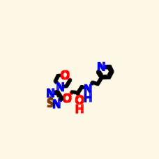 OC(CNCCc1cccnc1)COc1nsnc1N1CCOCC1